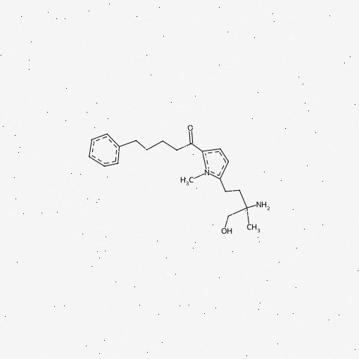 Cn1c(CCC(C)(N)CO)ccc1C(=O)CCCCc1ccccc1